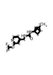 CC1CC2(NC(=O)NCc3ccnc(OC(F)F)c3)CC1C2